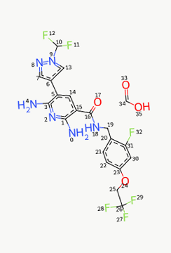 Nc1nc(N)c(-c2cnn(C(F)F)c2)cc1C(=O)NCc1ccc(OCC(F)(F)F)cc1F.O=CO